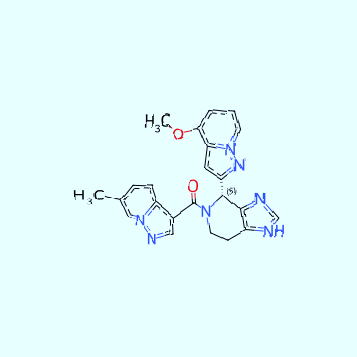 COc1cccn2nc([C@@H]3c4nc[nH]c4CCN3C(=O)c3cnn4cc(C)ccc34)cc12